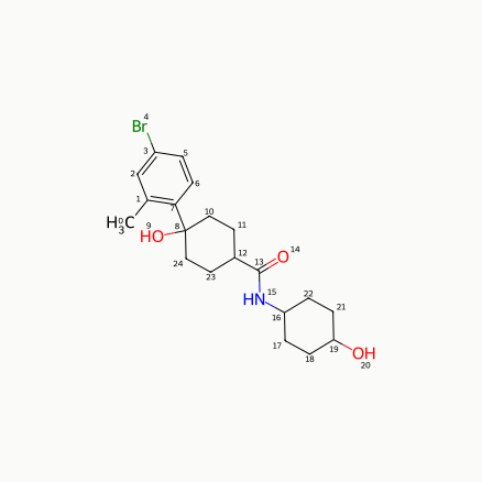 Cc1cc(Br)ccc1C1(O)CCC(C(=O)NC2CCC(O)CC2)CC1